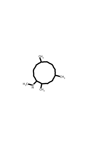 CBC1CCCC(C)CCCC(C)CCC1C